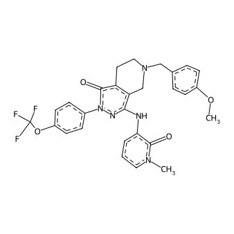 COc1ccc(CN2CCc3c(c(Nc4cccn(C)c4=O)nn(-c4ccc(OC(F)(F)F)cc4)c3=O)C2)cc1